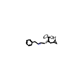 O=C(O)[C@@H](C/C=C/Cc1ccccc1)CC1CC1